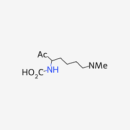 CNCCCCC(NC(=O)O)C(C)=O